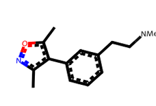 CNCCc1cccc(-c2c(C)noc2C)c1